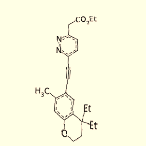 CCOC(=O)Cc1ccc(C#Cc2cc3c(cc2C)OCCC3(CC)CC)nn1